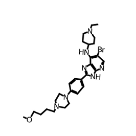 CCN1CCC(Nc2c(Br)cnc3[nH]c(-c4ccc(N5CCN(CCCCOC)CC5)cc4)nc23)CC1